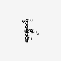 Cc1cc(C[C@@H](OC(=O)N2CCC(N3CCc4ccccc4NC3=O)CC2)C(=O)N2CCN(C3CCN(OC(C)(C)C)C(=C=O)C3)CC2)cc(C)c1N